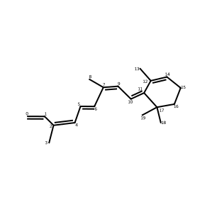 C=CC(C)=CC=CC(C)=CC=C1C(C)=CCCC1(C)C